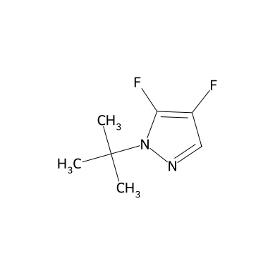 CC(C)(C)n1ncc(F)c1F